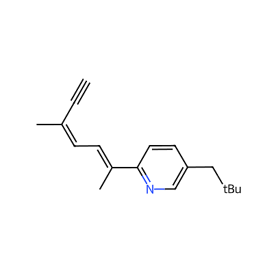 C#C/C(C)=C\C=C(/C)c1ccc(CC(C)(C)C)cn1